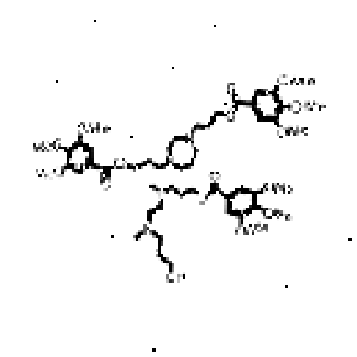 COc1cc(C(=O)OCCCN(C)CCN(C)CCCO)cc(OC)c1OC.COc1cc(C(=O)OCCCN2CCCN(CCCOC(=O)c3cc(OC)c(OC)c(OC)c3)CC2)cc(OC)c1OC